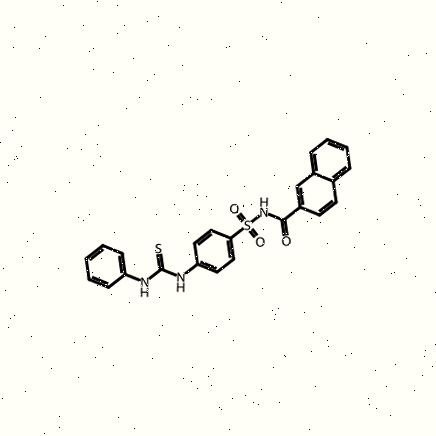 O=C(NS(=O)(=O)c1ccc(NC(=S)Nc2ccccc2)cc1)c1ccc2ccccc2c1